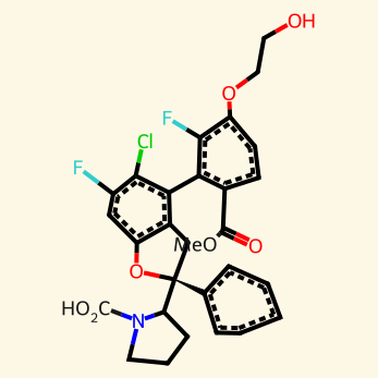 COC(=O)c1ccc(OCCO)c(F)c1-c1c(Cl)c(F)cc2c1C[C@](c1ccccc1)(C1CCCN1C(=O)O)O2